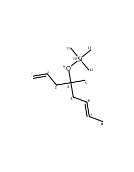 [CH]=CCC(C)(C/C=C/C)O[Si](C)(C)C